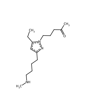 CCc1cc(CCCCNC)nn1CCCC(C)=O